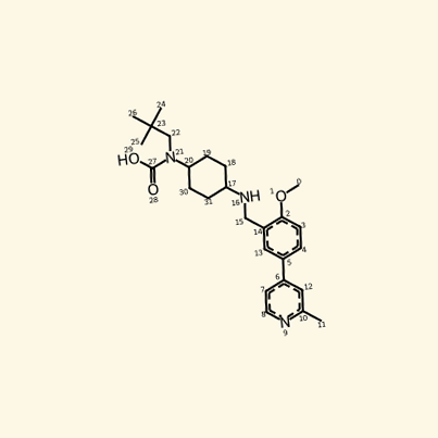 COc1ccc(-c2ccnc(C)c2)cc1CNC1CCC(N(CC(C)(C)C)C(=O)O)CC1